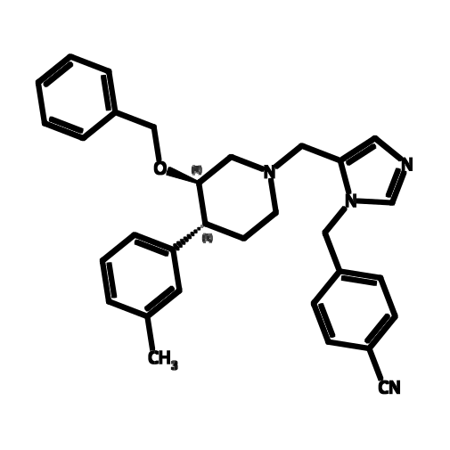 Cc1cccc([C@H]2CCN(Cc3cncn3Cc3ccc(C#N)cc3)C[C@@H]2OCc2ccccc2)c1